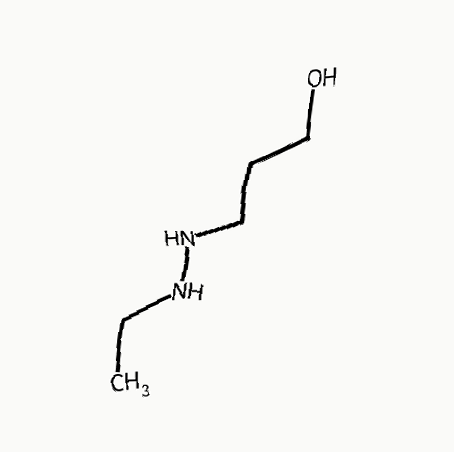 CCNNCCCO